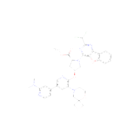 C[C@@H]1N(c2cc(-c3ccnc(N(C)C)c3)cnc2O[C@H]2C[C@@H](C(=O)OC(C)(C)C)N(c3nc(C(F)F)nc4c3oc3ccccc34)C2)CCOC12COC2